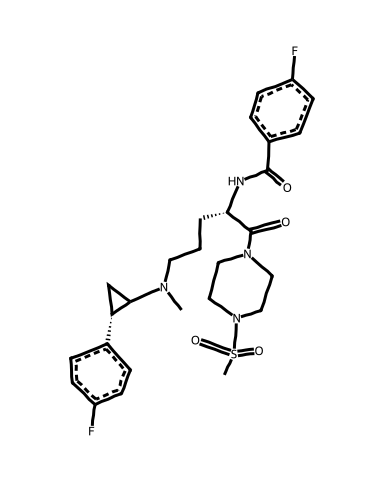 CN(CCC[C@H](NC(=O)c1ccc(F)cc1)C(=O)N1CCN(S(C)(=O)=O)CC1)C1C[C@H]1c1ccc(F)cc1